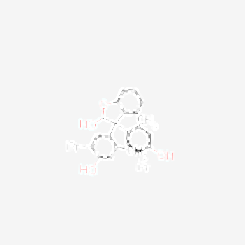 Cc1cc(O)c(C(C)C)cc1C1(c2cc(C(C)C)c(O)cc2C)c2ccccc2OC1O